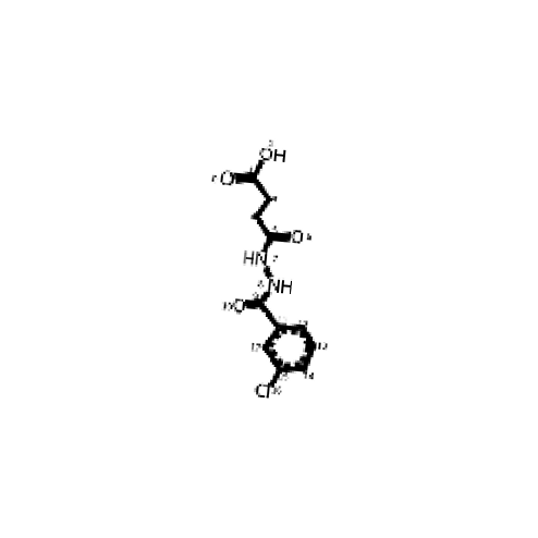 O=C(O)CCC(=O)NNC(=O)c1cccc(Cl)c1